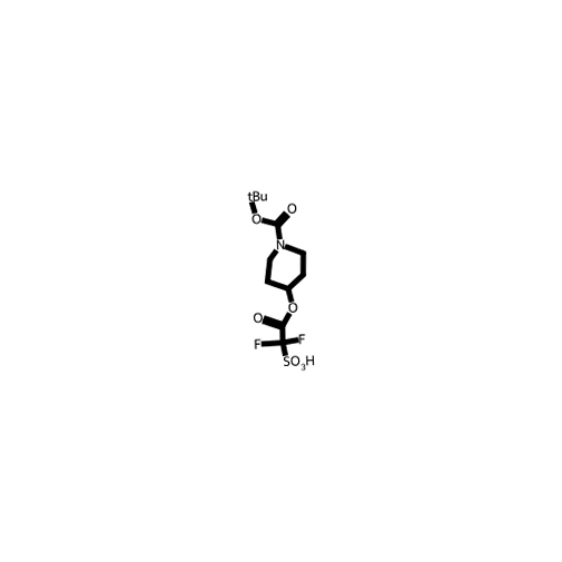 CC(C)(C)OC(=O)N1CCC(OC(=O)C(F)(F)S(=O)(=O)O)CC1